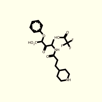 CC(NC(=O)CCC1CCNCC1)C(=O)C(Oc1ccccc1)C(=O)O.O=C(O)C(F)(F)F